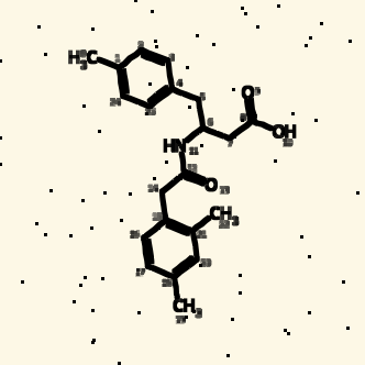 Cc1ccc(CC(CC(=O)O)NC(=O)Cc2ccc(C)cc2C)cc1